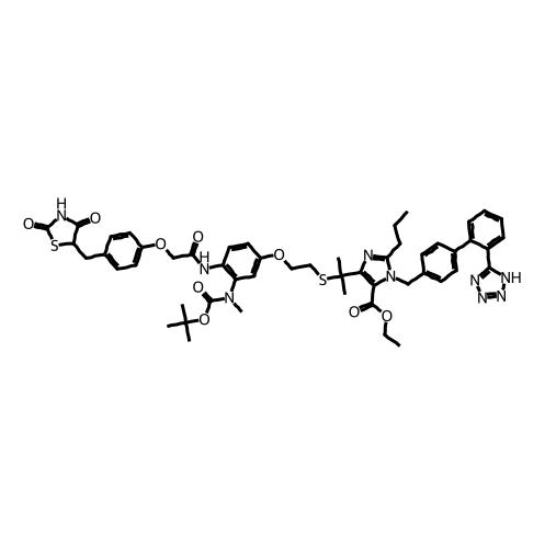 CCCc1nc(C(C)(C)SCCOc2ccc(NC(=O)COc3ccc(CC4SC(=O)NC4=O)cc3)c(N(C)C(=O)OC(C)(C)C)c2)c(C(=O)OCC)n1Cc1ccc(-c2ccccc2-c2nnn[nH]2)cc1